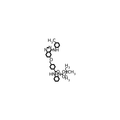 Cc1cccc(Nc2ncnc3ccc(OCc4ccc(C(=O)Nc5ccccc5NC(=O)OC(C)(C)C)cc4)cc23)c1